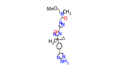 COCCN(C)C(=O)Cn1cc(-c2nc([C@@](C)(c3ccc(-c4cnc(N)nc4)cc3)C3CC3)no2)cn1